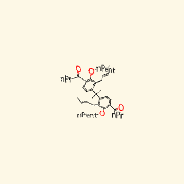 CC=CCc1c(C(C)(C)c2ccc(C(=O)CCC)c(OCCCCC)c2CC=CC)ccc(C(=O)CCC)c1OCCCCC